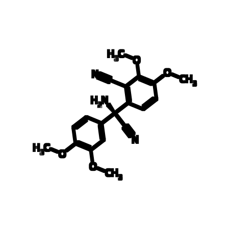 COc1ccc([C@@](N)(C#N)c2ccc(OC)c(OC)c2C#N)cc1OC